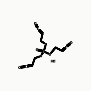 Cl.O=C=CCOP(=O)(OCC=C=O)OCC=C=O